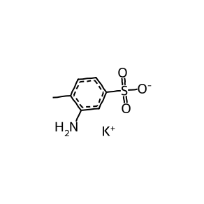 Cc1ccc(S(=O)(=O)[O-])cc1N.[K+]